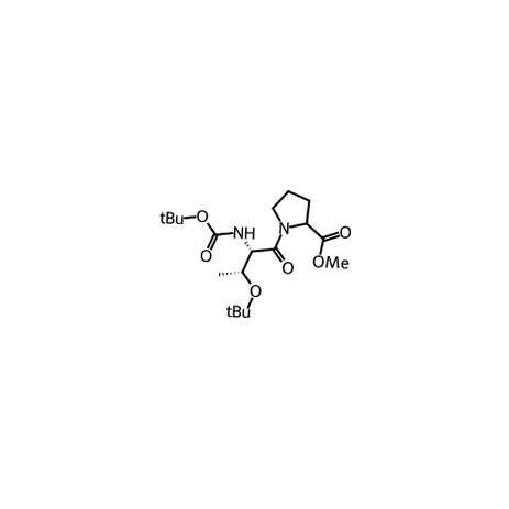 COC(=O)C1CCCN1C(=O)[C@@H](NC(=O)OC(C)(C)C)[C@@H](C)OC(C)(C)C